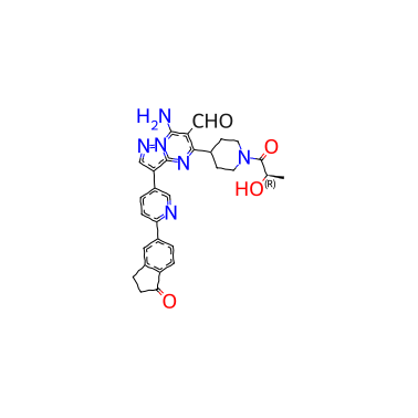 C[C@@H](O)C(=O)N1CCC(c2nc3c(-c4ccc(-c5ccc6c(c5)CCC6=O)nc4)cnn3c(N)c2C=O)CC1